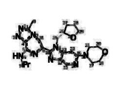 Cc1nnc2c(NC(C)C)nc(-c3nc4cnc(N5CCOCC5)cc4n3C[C@@H]3CCCO3)cn12